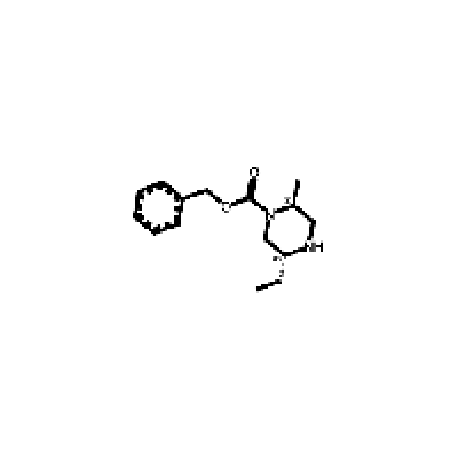 CC[C@@H]1CN(C(=O)OCc2ccccc2)[C@@H](C)CN1